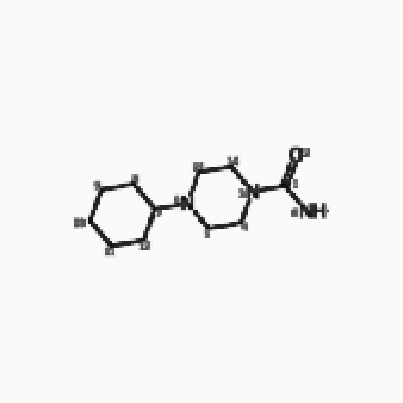 [NH]C(=O)N1CCN(C2CCCCC2)CC1